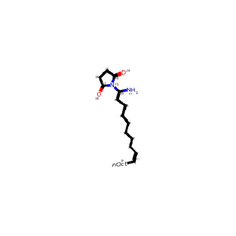 CCCCCCCC/C=C\CCCCCCCC(N)N1C(=O)CCC1=O